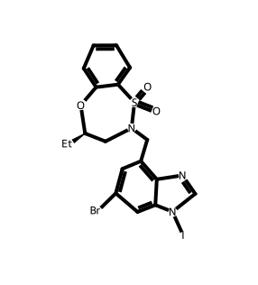 CC[C@@H]1CN(Cc2cc(Br)cc3c2ncn3I)S(=O)(=O)c2ccccc2O1